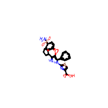 N=C(/C(Oc1ccc(S(N)(=O)=O)cc1)=C(\Nc1nc(C(=O)O)cs1)c1ccccc1)C1CCCC1